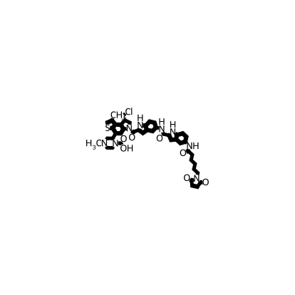 Cc1csc2c(C3CN(C)CCN3C(=O)O)cc3c(c12)[C@H](CCl)CN3C(=O)c1cc2cc(NC(=O)c3cc4cc(NC(=O)CCCCCN5C(=O)C=CC5=O)ccc4[nH]3)ccc2[nH]1